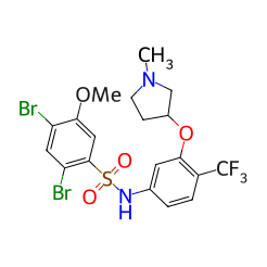 COc1cc(S(=O)(=O)Nc2ccc(C(F)(F)F)c(OC3CCN(C)C3)c2)c(Br)cc1Br